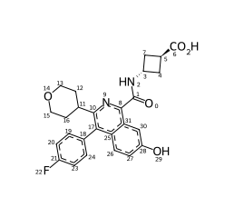 O=C(N[C@H]1C[C@H](C(=O)O)C1)c1nc(C2CCOCC2)c(-c2ccc(F)cc2)c2ccc(O)cc12